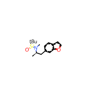 C[C@H](Cc1ccc2ccoc2c1)N(C)[S@+]([O-])C(C)(C)C